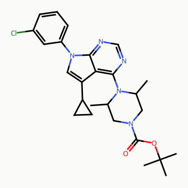 CC1CN(C(=O)OC(C)(C)C)CC(C)N1c1ncnc2c1c(C1CC1)cn2-c1cccc(Cl)c1